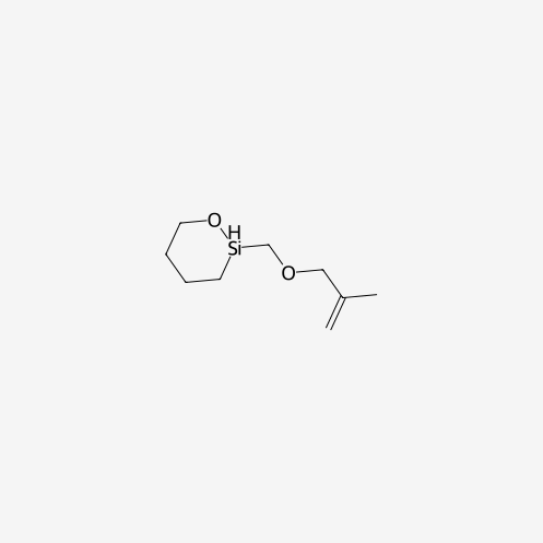 C=C(C)COC[SiH]1CCCCO1